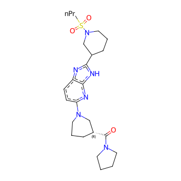 CCCS(=O)(=O)N1CCCC(c2nc3ccc(N4CCC[C@@H](C(=O)N5CCCC5)C4)nc3[nH]2)C1